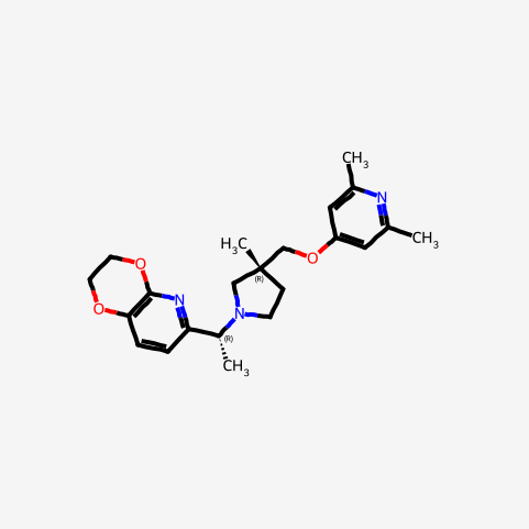 Cc1cc(OC[C@]2(C)CCN([C@H](C)c3ccc4c(n3)OCCO4)C2)cc(C)n1